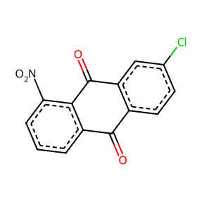 O=C1c2ccc(Cl)cc2C(=O)c2c1cccc2[N+](=O)[O-]